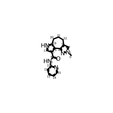 Cn1cc2c(n1)-c1c(C(=O)Nc3ccccn3)c[nH]c1CCC2